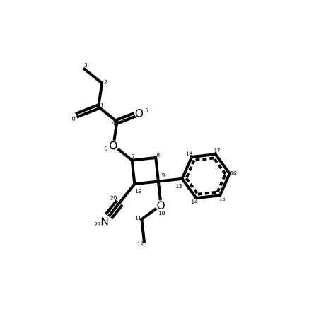 C=C(CC)C(=O)OC1CC(OCC)(c2ccccc2)C1C#N